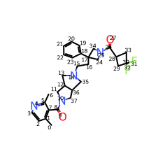 Cc1ccnc(C)c1C(=O)N1CC2CN(CCC3(c4ccccc4)CN(C(=O)C4CC(F)(F)C4)C3)CC2C1